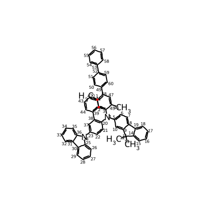 Cc1cc(N(c2ccc3c(c2)C(C)(C)c2ccccc2-3)c2ccc(-n3c4ccccc4c4ccccc43)cc2-c2ccccc2)c(C)cc1-c1ccc(-c2ccccc2)cc1